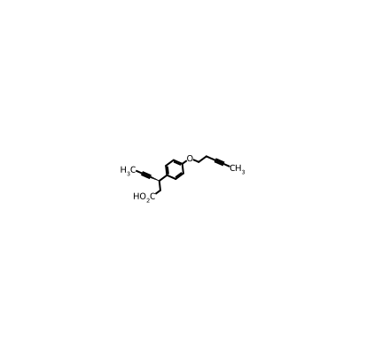 CC#CCCOc1ccc([C@H](C#CC)CC(=O)O)cc1